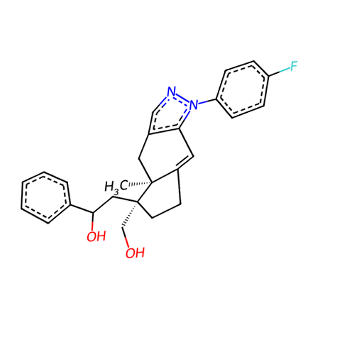 C[C@]12Cc3cnn(-c4ccc(F)cc4)c3C=C1CC[C@@]2(CO)CC(O)c1ccccc1